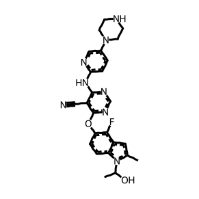 Cc1cc2c(F)c(Oc3ncnc(Nc4ccc(N5CCNCC5)cn4)c3C#N)ccc2n1C(C)O